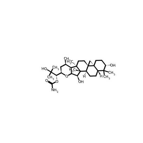 C[C@@H]1C[C@H]([C@H](OC(N)=O)C(C)(C)O)OC2C1[C@@]1(C)CC[C@@]34C[C@@]35CC[C@H](O)C(C)(C)[C@@H]5CC[C@H]4[C@]1(C)[C@H]2O